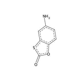 Nc1ccc2oc(=O)sc2c1